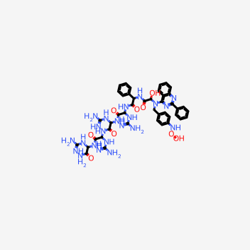 N=C(N)NC(NC(=O)C(NC(=N)N)NC(=O)C(NC(=N)N)NC(=O)C(NC(=N)N)NC(=O)C(NC(=O)C(O)N(Cc1ccc(NOO)cc1)c1nc(-c2ccccc2)nc2ccccc12)c1ccccc1)C(N)=O